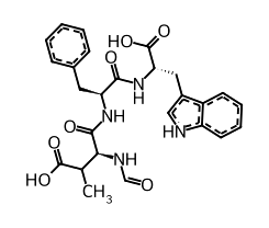 CC(C(=O)O)[C@H](NC=O)C(=O)N[C@@H](Cc1ccccc1)C(=O)N[C@@H](Cc1c[nH]c2ccccc12)C(=O)O